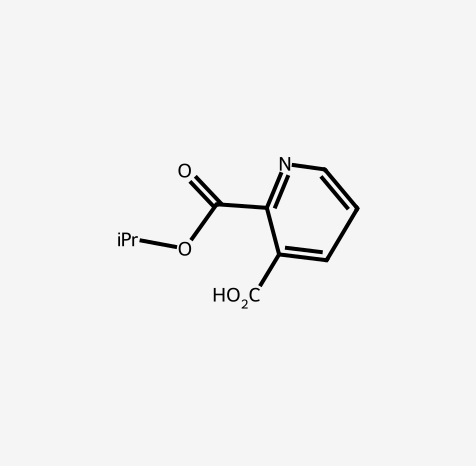 CC(C)OC(=O)c1ncccc1C(=O)O